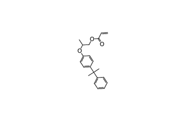 C=CC(=O)OCC(C)Oc1ccc(C(C)(C)c2ccccc2)cc1